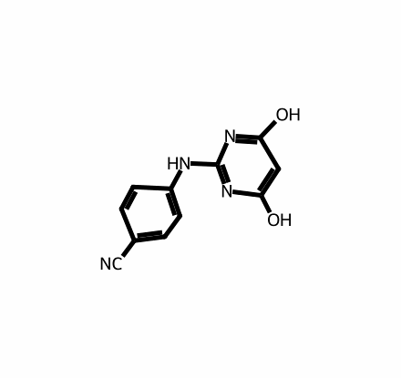 N#Cc1ccc(Nc2nc(O)cc(O)n2)cc1